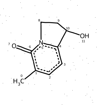 Cc1ccc2n(c1=O)CCC2O